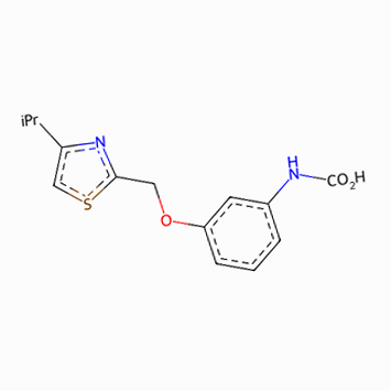 CC(C)c1csc(COc2cccc(NC(=O)O)c2)n1